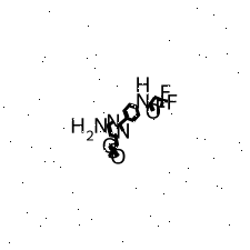 CS(=O)(=O)Cc1cc(N)nc(-c2ccc(NC(=O)CC(F)(F)F)cc2)n1